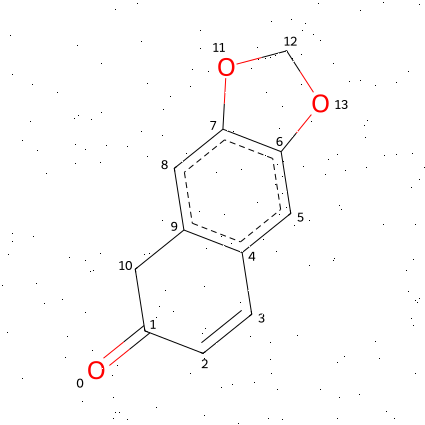 O=C1C=Cc2cc3c(cc2C1)OCO3